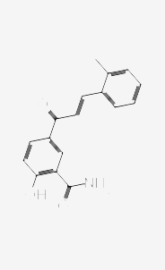 Cc1ccccc1C=CC(=O)c1ccc(O)c(C(N)=O)c1